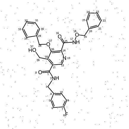 O=C(NCc1ccc(F)cc1)c1cnc(C(=O)NOCc2ccccc2)c(OCc2ccccc2)c1CO